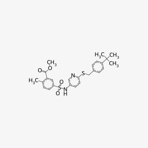 COC(=O)c1cc(S(=O)(=O)Nc2ccc(SCc3ccc(C(C)(C)C)cc3)nc2)ccc1C